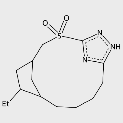 CCC1CC2CC1CCCCc1nc(n[nH]1)S(=O)(=O)C2